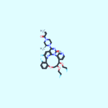 C=CC(=O)N1CCN(c2nc(=O)n3c4nc(c(F)cc24)-c2c(F)cccc2OCC(OCCF)C(OCCF)c2ccnc(C(C)C)c2-3)[C@@H](C)C1